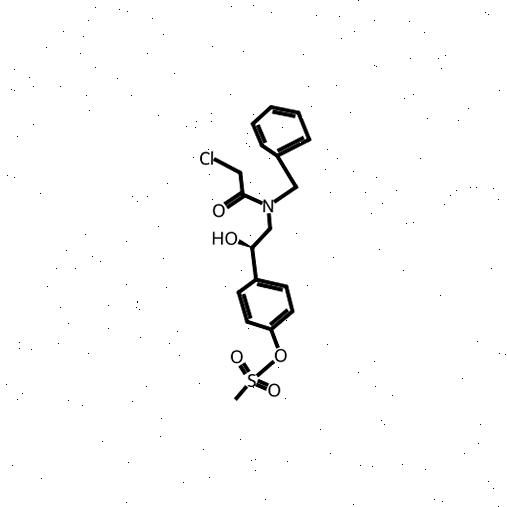 CS(=O)(=O)Oc1ccc([C@@H](O)CN(Cc2ccccc2)C(=O)CCl)cc1